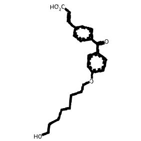 O=C(O)C=Cc1ccc(C(=O)c2ccc(OCCCCCCCCO)cc2)cc1